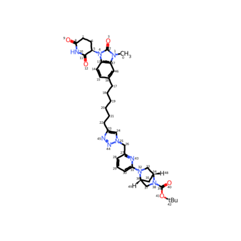 Cn1c(=O)n([C@@H]2CCC(=O)NC2=O)c2ccc(CCCCCCc3cn(Cc4cccc(N5C[C@H]6C[C@@H]5CN6C(=O)OC(C)(C)C)n4)nn3)cc21